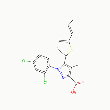 C/C=C/C1=CCC(c2c(C)c(C(=O)O)nn2-c2ccc(Cl)cc2Cl)S1